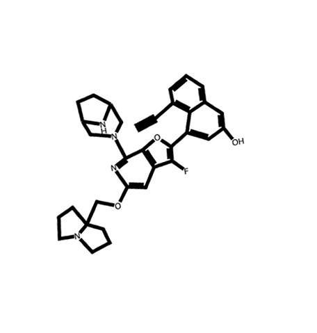 C#Cc1cccc2cc(O)cc(-c3oc4c(N5CC6CCC(C5)N6)nc(OCC56CCCN5CCC6)cc4c3F)c12